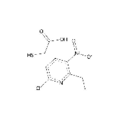 CCc1nc(Cl)ccc1[N+](=O)[O-].O=C(O)CS